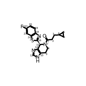 O=C(CCC1CC1)N1CCc2[nH]cnc2[C@H]1c1nc2ccc(F)cc2s1